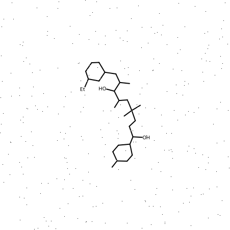 CCC1CCCC(CC(C)C(O)C(C)CC(C)(C)CCC(O)C2CCC(C)CC2)C1